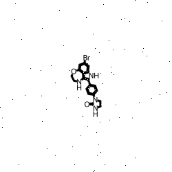 O=C1NCCN1c1ccc(-c2[nH]c3cc(Br)cc4c3c2NCCO4)cc1